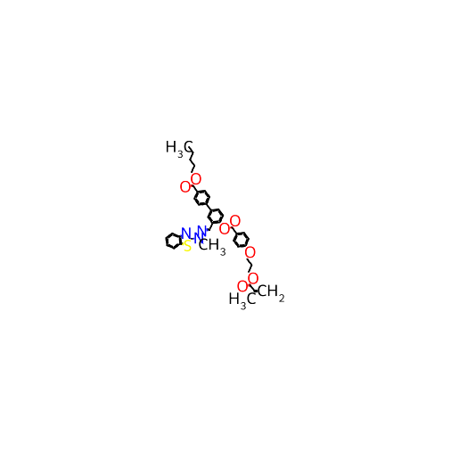 C=C(C)C(=O)OCCCOc1ccc(C(=O)Oc2ccc(-c3ccc(C(=O)OCCCCC)cc3)cc2/C=N/N(C)c2nc3ccccc3s2)cc1